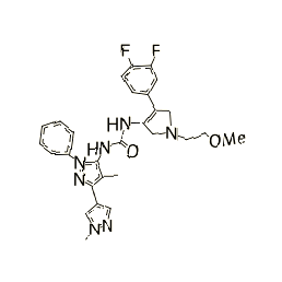 COCCN1CC(NC(=O)Nc2c(C)c(-c3cnn(C)c3)nn2-c2ccccc2)=C(c2ccc(F)c(F)c2)C1